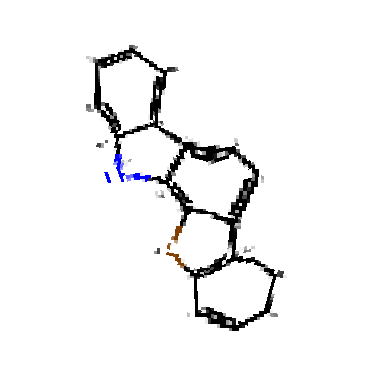 C1=Cc2sc3c(ccc4c5ccccc5[nH]c43)c2CC1